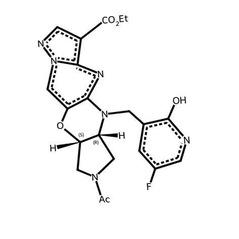 CCOC(=O)c1cnn2cc3c(nc12)N(Cc1cc(F)cnc1O)[C@@H]1CN(C(C)=O)C[C@@H]1O3